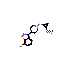 O=C(O)[C@@H]1C[C@H]1CN1CCC(c2noc3c(C(F)(F)F)cccc23)CC1